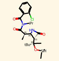 CC(C)N(C(=O)c1ccccc1Cl)C(=O)[C@H](C)[C@H]1NC(=O)[C@@H]1[C@@](C)(O[SiH](C)C)C(C)(C)C